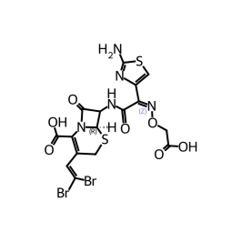 Nc1nc(/C(=N/OCC(=O)O)C(=O)NC2C(=O)N3C(C(=O)O)=C(C=C(Br)Br)CS[C@H]23)cs1